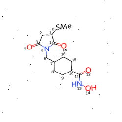 CSC1CC(=O)N(CC2CCC(C(=O)NO)CC2)C1=O